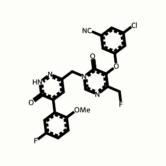 COc1ccc(F)cc1-c1cc(Cn2cnc(CF)c(Oc3cc(Cl)cc(C#N)c3)c2=O)n[nH]c1=O